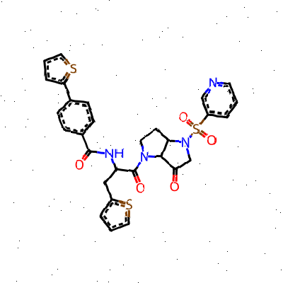 O=C(NC(Cc1cccs1)C(=O)N1CCC2C1C(=O)CN2S(=O)(=O)c1cccnc1)c1ccc(-c2cccs2)cc1